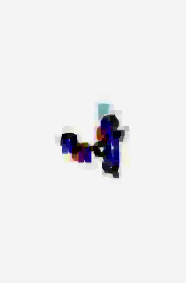 Cc1ccc(-c2cc(C(=O)N[C@H](C)c3ccc(F)cn3)cc(C3=NO[C@@H](c4ccccn4)C3)c2)nc1